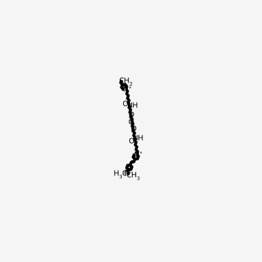 C=Cc1cc[n+](CCCCCC(=O)NCCCOCCOCCOCCCNC(=O)CCCCC[n+]2ccc(C=Cc3ccc(N(C)C)cc3)cc2)cc1